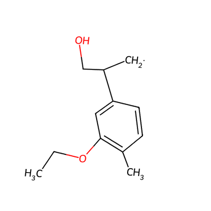 [CH2]C(CO)c1ccc(C)c(OCC)c1